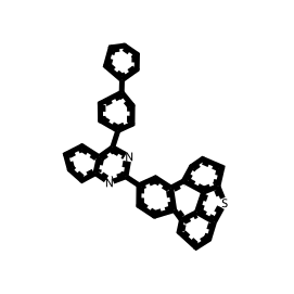 c1ccc(-c2ccc(-c3nc(-c4ccc5c(c4)c4cccc6sc7cccc5c7c64)nc4ccccc34)cc2)cc1